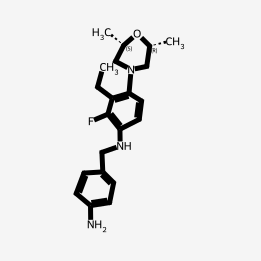 CCc1c(N2C[C@@H](C)O[C@@H](C)C2)ccc(NCc2ccc(N)cc2)c1F